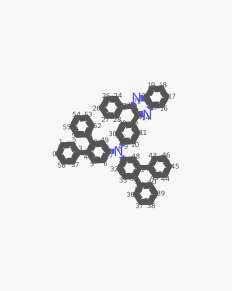 c1ccc(-c2ccc(N(c3ccc(-c4nc5ccccc5nc4-c4ccccc4)cc3)c3ccc(-c4ccccc4)c(-c4ccccc4)c3)cc2-c2ccccc2)cc1